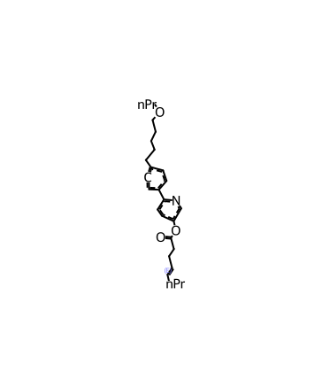 CCC/C=C/CCC(=O)Oc1ccc(-c2ccc(CCCCCOCCC)cc2)nc1